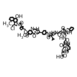 COc1cc2c(cc1OCC13CC(C1)C(C(=O)N1CC(CCl)c4c1cc(O)c1cccc(C)c41)C3)N=C[C@@H]1CC(c3ccc(NC(=O)C(OCNC(=O)CNC(=O)[C@H](Cc4ccccc4)NC(=O)CNC(=O)CNC(=O)C(CNCC(=O)O)N4C(=O)C=CC4=O)C4CC4)cc3)=CN1C2=O